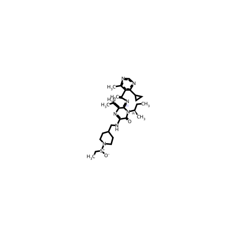 C=C(/N=C1\C(=C(C)C)N=C(NCC2CCN([S+]([O-])CC)CC2)C(=O)N1[C@H](C)CC)c1c(C)ncnc1C1CC1